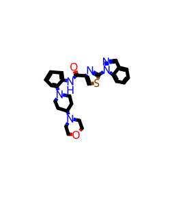 O=C(Nc1ccccc1N1CCC(N2CCOCC2)CC1)c1csc(-n2ncc3ccccc32)n1